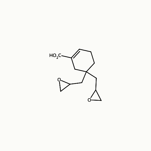 O=C(O)C1=CCCC(CC2CO2)(CC2CO2)C1